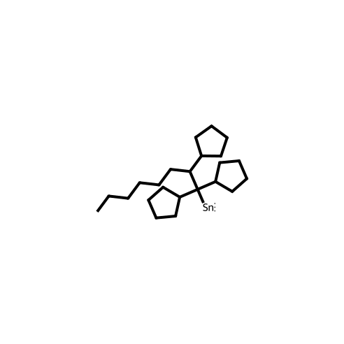 CCCCCCC(C1CCCC1)[C]([Sn])(C1CCCC1)C1CCCC1